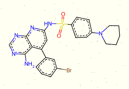 Nc1ncnc2nc(NS(=O)(=O)c3ccc(N4CCCCC4)cc3)cc(-c3cccc(Br)c3)c12